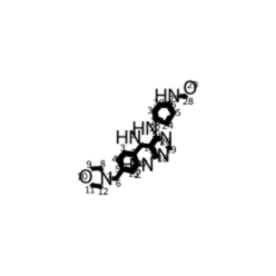 N=C(c1ccc(CN2CCOCC2)cc1)c1c(N)ncnc1Nc1ccc(NC=O)cc1